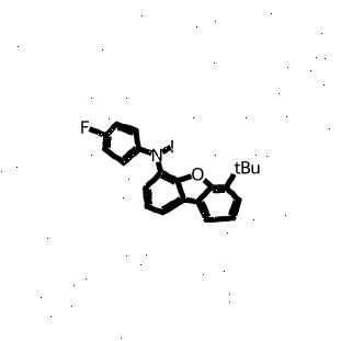 CC(C)(C)c1cccc2c1oc1c(N(I)c3ccc(F)cc3)cccc12